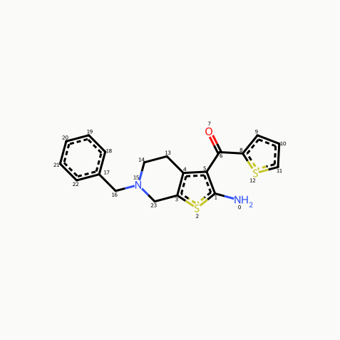 Nc1sc2c(c1C(=O)c1cccs1)CCN(Cc1ccccc1)C2